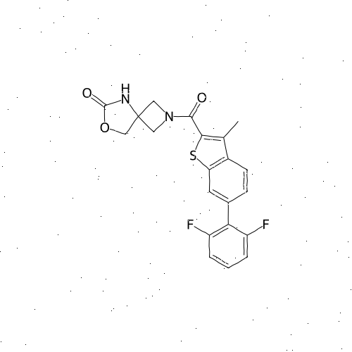 Cc1c(C(=O)N2CC3(COC(=O)N3)C2)sc2cc(-c3c(F)cccc3F)ccc12